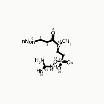 CCCCCCCCCCCC(=O)N(C)CCS(=O)(=O)ONC(=N)N